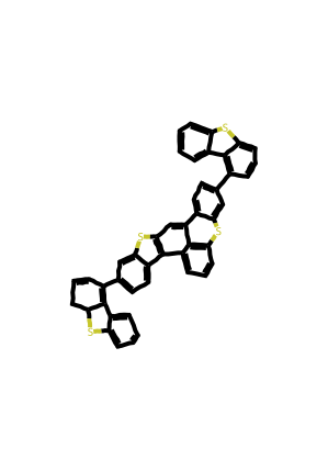 C1=CC(c2ccc3c(c2)sc2cc4c5c(cccc5c23)Sc2cc(-c3cccc5sc6ccccc6c35)ccc2-4)=C2c3ccccc3SC2C1